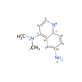 CN(C)c1ccnc2ccc(N)cc12